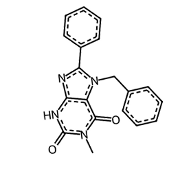 Cn1c(=O)[nH]c2nc(-c3ccccc3)n(Cc3ccccc3)c2c1=O